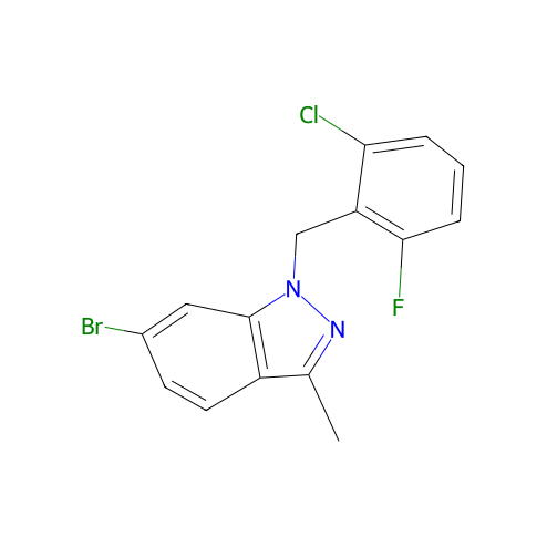 Cc1nn(Cc2c(F)cccc2Cl)c2cc(Br)ccc12